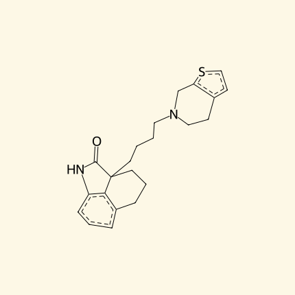 O=C1Nc2cccc3c2C1(CCCCN1CCc2ccsc2C1)CCC3